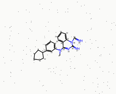 CN(c1cccc(C2CCCCC2)c1)c1nc(=N)n(C=N)c2ccccc12